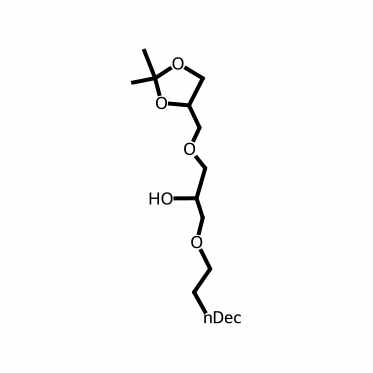 CCCCCCCCCCCCOCC(O)COCC1COC(C)(C)O1